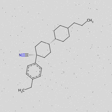 CCCC1CCC([C@H]2CC[C@](C#N)(c3ccc(CC)cc3)CC2)CC1